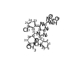 COC(c1ccccc1)c1nc2nc(-c3noc(=O)[nH]3)nc(-c3cccc(Cl)c3)c2n1C[C@H]1CC[C@H](C)CC1